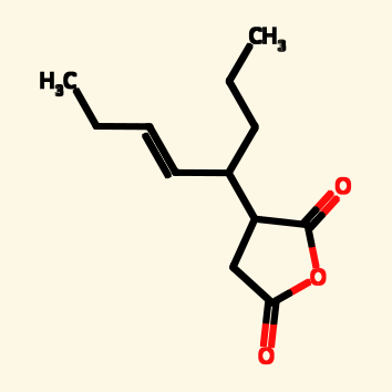 CC/C=C/C(CCC)C1CC(=O)OC1=O